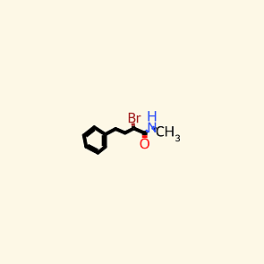 CNC(=O)C(Br)CCc1ccccc1